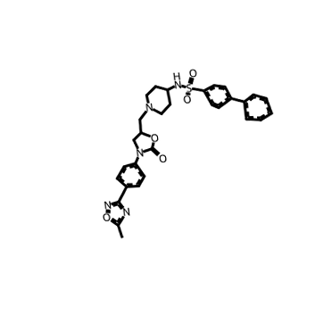 Cc1nc(-c2ccc(N3CC(CN4CCC(NS(=O)(=O)c5ccc(-c6ccccc6)cc5)CC4)OC3=O)cc2)no1